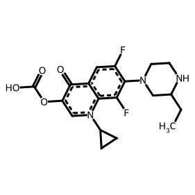 CCC1CN(c2c(F)cc3c(=O)c(OC(=O)O)cn(C4CC4)c3c2F)CCN1